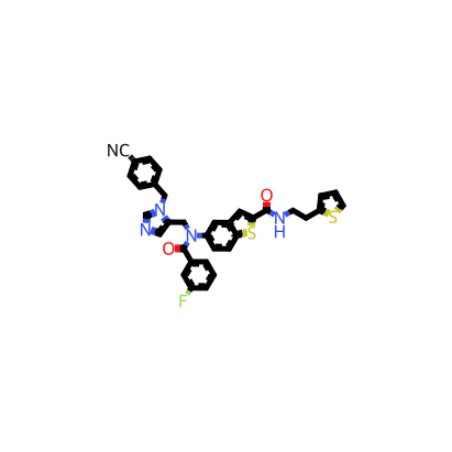 N#Cc1ccc(Cn2cncc2CN(C(=O)c2cccc(F)c2)c2ccc3sc(C(=O)NCCc4cccs4)cc3c2)cc1